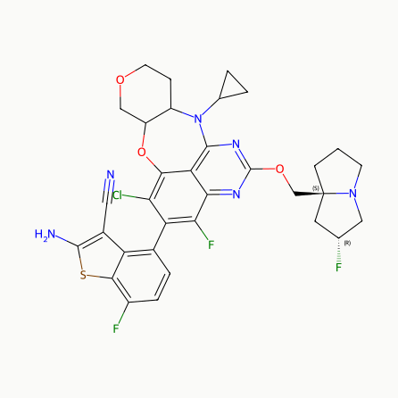 N#Cc1c(N)sc2c(F)ccc(-c3c(Cl)c4c5c(nc(OC[C@@]67CCCN6C[C@H](F)C7)nc5c3F)N(C3CC3)C3CCOCC3O4)c12